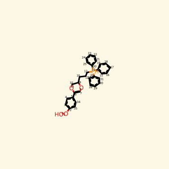 OOc1ccc(C2=COC(CCC[PH](c3ccccc3)(c3ccccc3)c3ccccc3)CO2)cc1